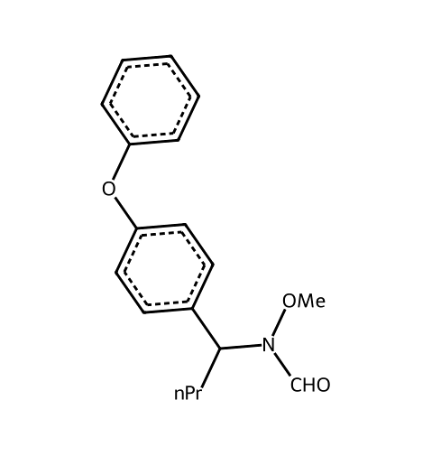 CCCC(c1ccc(Oc2ccccc2)cc1)N(C=O)OC